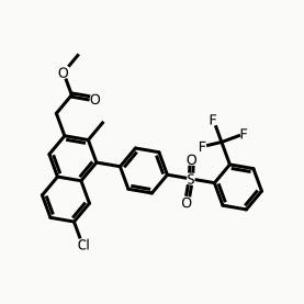 COC(=O)Cc1cc2ccc(Cl)cc2c(-c2ccc(S(=O)(=O)c3ccccc3C(F)(F)F)cc2)c1C